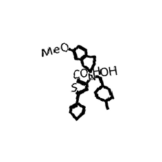 COc1ccc2c(c1)CC(N(c1cc(C3=CCCCC3)sc1C(=O)O)C(O)C1CCC(C)CC1)CC2